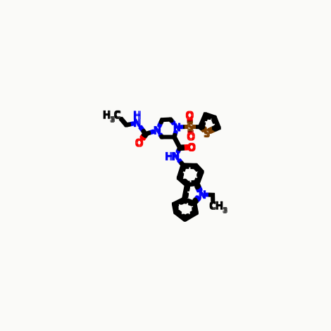 CCNC(=O)N1CCN(S(=O)(=O)c2cccs2)C(C(=O)Nc2ccc3c(c2)c2ccccc2n3CC)C1